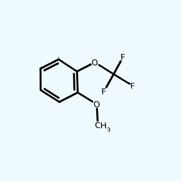 COc1ccc[c]c1OC(F)(F)F